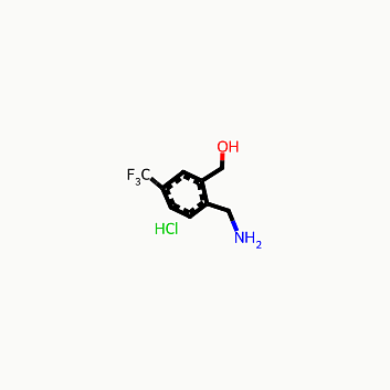 Cl.NCc1ccc(C(F)(F)F)cc1CO